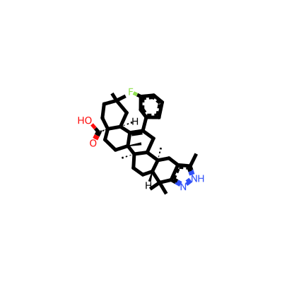 Cc1[nH]nc2c1C[C@]1(C)C3CC(c4cccc(F)c4)=C4[C@@H]5CC(C)(C)CC[C@]5(C(=O)O)CC[C@@]4(C)[C@]3(C)CC[C@H]1C2(C)C